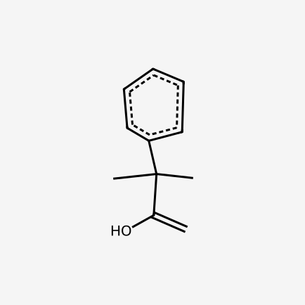 C=C(O)C(C)(C)c1ccccc1